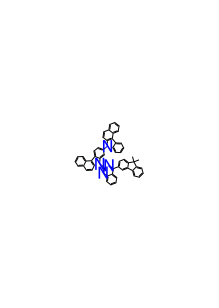 CC1(C)c2ccccc2-c2cc(-c3nc(-n4c5cc(-n6c7ccccc7c7c8ccccc8ccc76)ccc5c5c6ccccc6ccc54)nc4ccccc34)ccc21